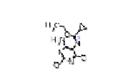 CCO/C(=N\c1c(N)nc(Cl)nc1Cl)C1CC1